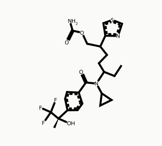 CCC(CCC(COC(N)=O)c1cscn1)N(C(=O)c1ccc([C@](C)(O)C(F)(F)F)cc1)C1CC1